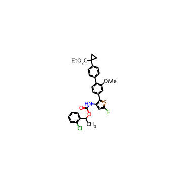 CCOC(=O)C1(c2ccc(-c3ccc(-c4sc(F)cc4NC(=O)OC(C)c4ccccc4Cl)cc3OC)cc2)CC1